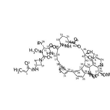 C=CC(=O)NC1CN(C(=O)N(C)C(C(=O)N[C@H]2Cc3nc(cs3)-c3ccc4c(c3)c(c(-c3cccnc3[C@H](C)OC)n4CC)CC(C)(C)COC(=O)[C@@H]3CCCN(N3)C2=O)C(C)C)C1